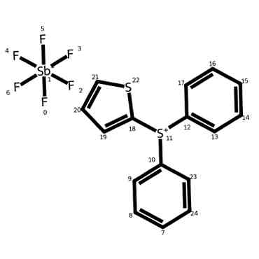 [F][Sb-]([F])([F])([F])([F])[F].c1ccc([S+](c2ccccc2)c2cccs2)cc1